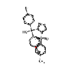 Cc1ccc(S(=O)(=O)n2ccnc2C(O)(c2ccc(Br)cc2)c2ccc(Br)cc2)cc1